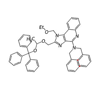 CCOCn1c(COC(C)OC(c2ccccc2)(c2ccccc2)c2ccccc2)nc2c(N(Cc3ccccc3)Cc3ccccc3)nc3ccccc3c21